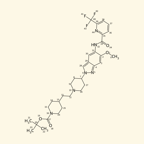 COc1cc2nn(C3CCN(CCC4CCN(C(=O)OC(C)(C)C)CC4)CC3)cc2cc1NC(=O)c1cccc(C(F)(F)F)n1